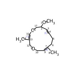 COC1/C=C/CC/C(C)=C\COC/C(C)=C\CC1